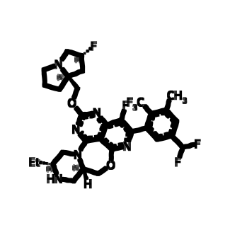 CC[C@@H]1CN2c3nc(OC[C@@]45CCCN4C[C@H](F)C5)nc4c(F)c(-c5cc(C(F)F)cc(C)c5C(F)(F)F)nc(c34)OC[C@@H]2CN1